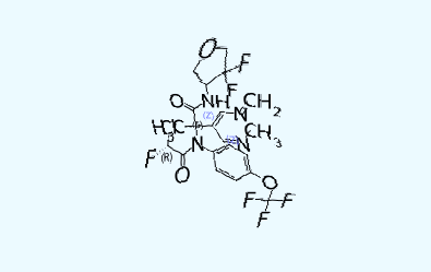 C=N/C=C(\C=N/C)[C@@](C)(C(=O)NC1COCC1(F)F)N(C(=O)[C@H](F)Cl)c1ccc(OC(F)(F)F)cc1